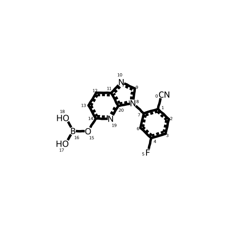 N#Cc1ccc(F)cc1-n1cnc2ccc(OB(O)O)nc21